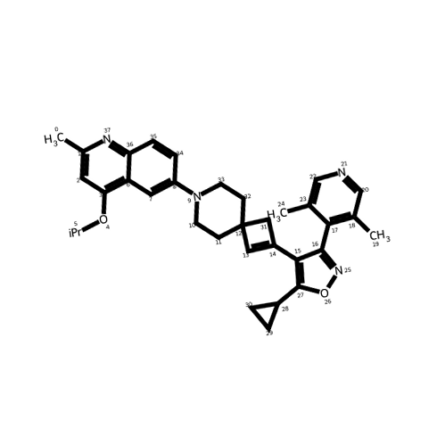 Cc1cc(OC(C)C)c2cc(N3CCC4(C=C(c5c(-c6c(C)cncc6C)noc5C5CC5)C4)CC3)ccc2n1